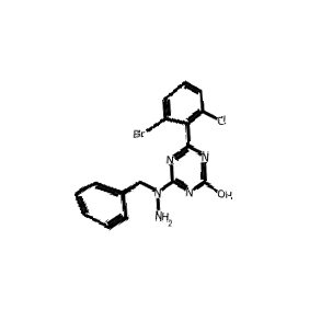 NN(Cc1ccccc1)c1nc(O)nc(-c2c(Cl)cccc2Br)n1